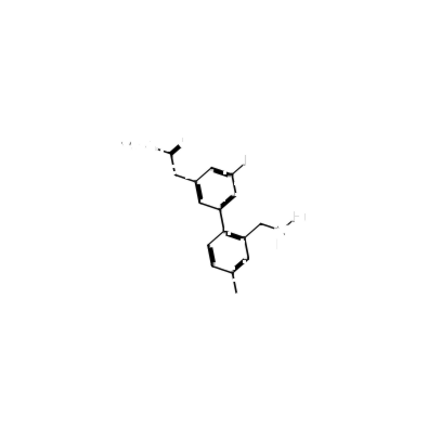 CCNCc1cc(C)ccc1-c1cc(F)cc(CC(=O)OC)c1